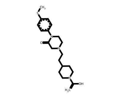 C=C(O)N1CCC(CCN2CCN(c3ccc(SC)cc3)C(=O)C2)CC1